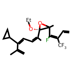 C=C/C(=C(/F)C1(C)O[C@]1(OCC)/C(C)=C\C=C(/C(=C)C)C1CC1)C(F)(F)F